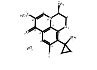 C[C@H]1COc2c(C3(N)CC3)c(F)cc3c(=O)c(C(=O)O)cn1c23.Cl